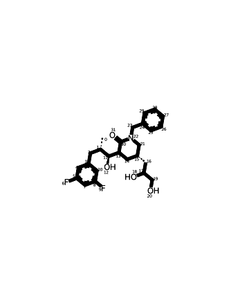 C[C@@H](Cc1cc(F)cc(F)c1)[C@H](O)C1C[C@@H](CC(O)CO)CN(Cc2ccccc2)C1=O